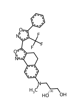 CN(C[C@@H](O)CO)c1ccc2c(c1)CCc1c-2noc1-c1noc(-c2ccccc2)c1C(F)(F)F